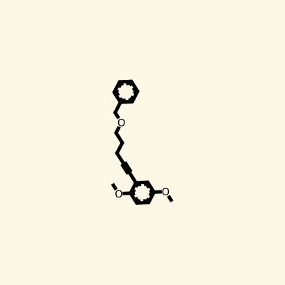 COc1ccc(OC)c(C#CCCCOCc2ccccc2)c1